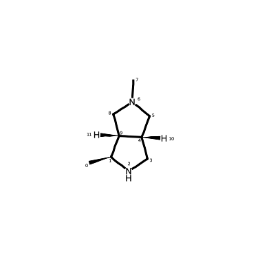 C[C@@H]1NC[C@H]2CN(C)C[C@H]21